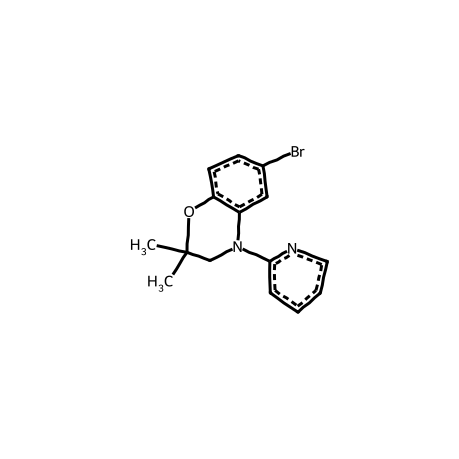 CC1(C)CN(c2ccccn2)c2cc(Br)ccc2O1